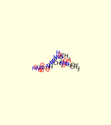 C[C@@H]1CN([C@@H]2CCN3c4cc5c(cc4OCC[C@@H]3C2)C(=O)N(C2CCC(=O)NC2=O)C5=O)CCN1c1ccc(Nc2cc(-c3ccnc(N4CCn5c(cc6c5CC(C)(C)C6)C4=O)c3CO)cn(C)c2=O)nc1